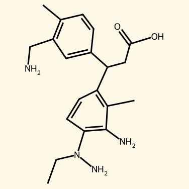 CCN(N)c1ccc(C(CC(=O)O)c2ccc(C)c(CN)c2)c(C)c1N